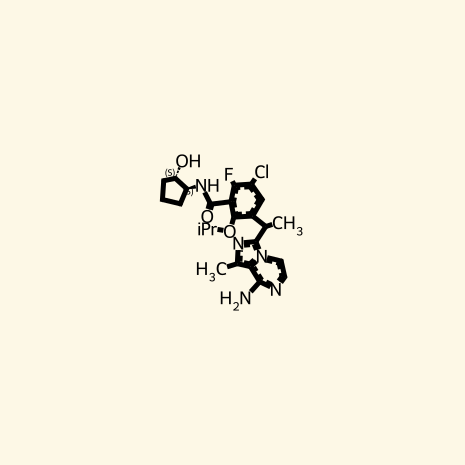 Cc1nc(C(C)c2cc(Cl)c(F)c(C(=O)N[C@H]3CCC[C@@H]3O)c2OC(C)C)n2ccnc(N)c12